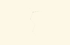 O=C(O)CCCC(Br)Br